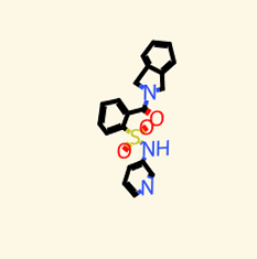 O=C(c1ccccc1S(=O)(=O)Nc1cccnc1)N1Cc2ccccc2C1